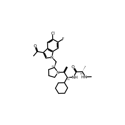 C=C([C@@H](NC(=O)[C@H](C)NC)C1CCCCC1)N1CCC[C@H]1Cn1cc(C(C)=O)c2cc(Cl)c(F)cc21